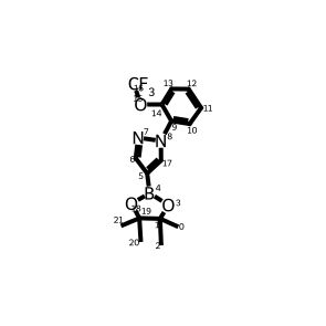 CC1(C)OB(c2cnn(-c3ccccc3OC(F)(F)F)c2)OC1(C)C